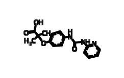 CC(C)(Oc1ccc(NC(=O)Nc2ccccn2)cc1)C(=O)O